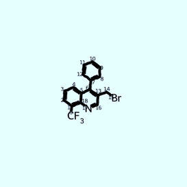 FC(F)(F)c1cccc2c(-c3ccccc3)c(CBr)cnc12